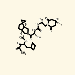 CC1(C)CC(=O)N(C[C@@H](NC(=O)N[C@H](C(=O)N2C[C@H]3[C@H](CCC34CC4)[C@H]2C(=O)NC(CC2CCC2)C(=O)C(N)=O)C(C)(C)C)C(C)(C)C)C(=O)C1